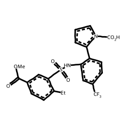 CCc1ccc(C(=O)OC)cc1S(=O)(=O)Nc1cc(C(F)(F)F)ccc1-c1cccn1C(=O)O